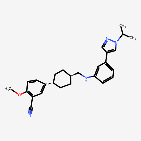 COc1ccc([C@H]2CC[C@H](CNc3cccc(-c4cnn(C(C)C)c4)c3)CC2)cc1C#N